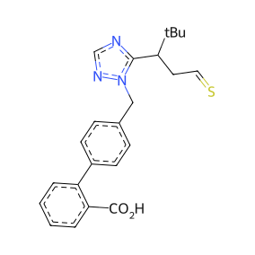 CC(C)(C)C(CC=S)c1ncnn1Cc1ccc(-c2ccccc2C(=O)O)cc1